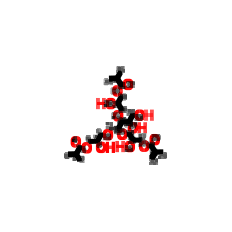 C=C(C)C(=O)OCC(O)COC[C@@H](OCC(O)COC(=O)C(=C)C)[C@H](OCC(O)COC(=O)C(=C)C)[C@H](O)CO